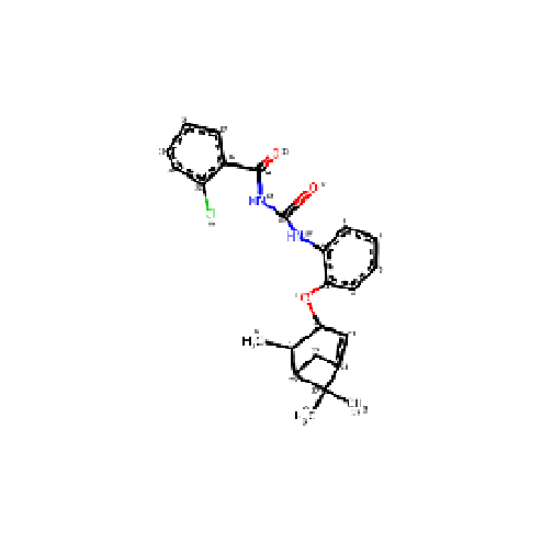 CC1C(Oc2ccccc2NC(=O)NC(=O)c2ccccc2Cl)C=C2CC1C2(C)C